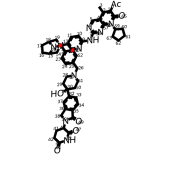 CC(=O)c1c(C)c2cnc(Nc3ccc(N4CC5CCC(C4)N5Cc4ccc(CN5CCC(O)(c6ccc7c(c6)CN(C6CCC(=O)NC6=O)C7=O)CC5)cc4)cn3)nc2n(C2CCCC2)c1=O